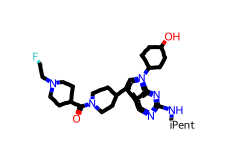 CCCC(C)Nc1ncc2c(C3CCN(C(=O)C4CCN(CCF)CC4)CC3)cn(C3CCC(O)CC3)c2n1